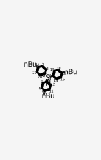 CCCCc1ccc([SiH](c2ccc(CCCC)cc2)c2ccc(CCCC)cc2)cc1